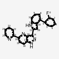 Fc1ccccc1-c1cccc2[nH]c(-c3n[nH]c4ccc(-c5ccccn5)nc34)cc12